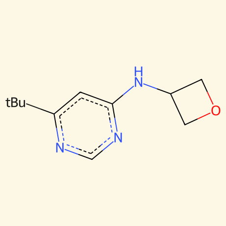 CC(C)(C)c1cc(NC2COC2)ncn1